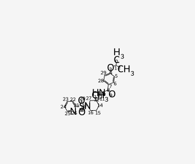 CC(C)Oc1ccc(C(=O)NCC2(C)CCCN(S(=O)(=O)c3ccccn3)C2)cc1